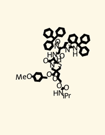 COc1ccc(COC(=O)C2(C=CCOC(=O)NC(C)C)CS[C@@H]3C(NC(=O)C(=NOC(c4ccccc4)(c4ccccc4)c4ccccc4)c4csc(NC(c5ccccc5)(c5ccccc5)c5ccccc5)n4)C(=O)N3C2)cc1